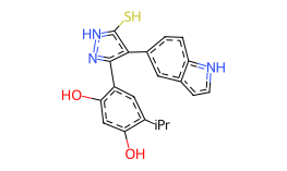 CC(C)c1cc(-c2n[nH]c(S)c2-c2ccc3[nH]ccc3c2)c(O)cc1O